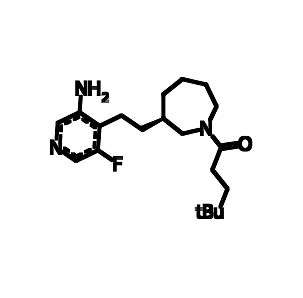 CC(C)(C)CCC(=O)N1CCCC[C@H](CCc2c(N)cncc2F)C1